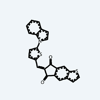 O=C1/C(=C/c2ccc(-n3ccc4ccccc43)s2)C(=O)c2cc3sccc3cc21